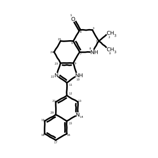 CC1(C)CC(=O)C2=C(N1)c1[nH]c(-c3cnc4ccccc4c3)nc1CC2